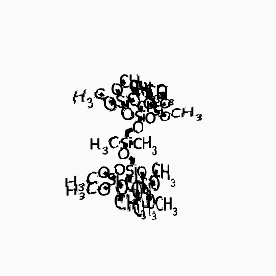 CO[Si](OC)(OC)O[Si](C)(CO[Si](C)(C)CO[Si](C)(O[Si](OC)(OC)OC)O[Si](OC)(OC)OC)O[Si](OC)(OC)OC